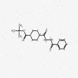 CC(C)(C)OC(=O)N1CCC(C(=O)NNC(=O)c2ccccc2)CC1